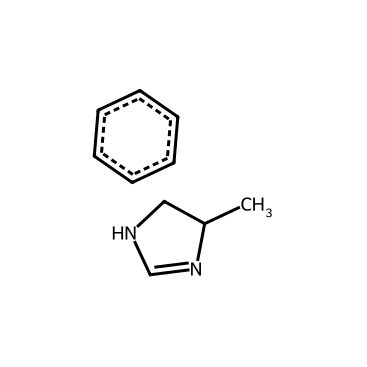 CC1CNC=N1.c1ccccc1